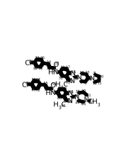 Cc1nc(N2CCC(N3CCCC3)CC2)nc2ccc(NC(=O)C=Cc3ccc(Cl)cc3)cc12.Cc1nc(N2CCCN(C)CC2)nc2ccc(NC(=O)C=Cc3ccc(Cl)cc3)cc12